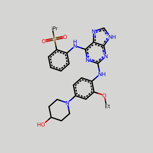 CCOc1cc(N2CCC(O)CC2)ccc1Nc1nc(Nc2ccccc2S(=O)(=O)C(C)C)c2nc[nH]c2n1